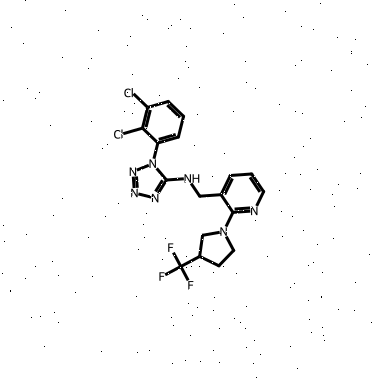 FC(F)(F)C1CCN(c2ncccc2CNc2nnnn2-c2cccc(Cl)c2Cl)C1